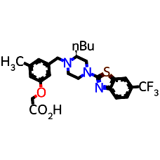 CCCC[C@@H]1CN(c2nc3ccc(C(F)(F)F)cc3s2)CCN1Cc1cc(C)cc(OCC(=O)O)c1